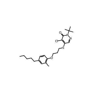 CCCCCc1ccc(OCCCSc2cnn(C(C)(C)C)c(=O)c2Cl)c(C)c1